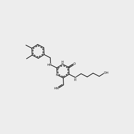 Cc1ccc(CNc2nc(C=N)c(NCCCCO)c(=O)[nH]2)cc1C